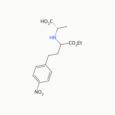 CCOC(=O)C(CCc1ccc([N+](=O)[O-])cc1)N[C@@H](C)C(=O)O